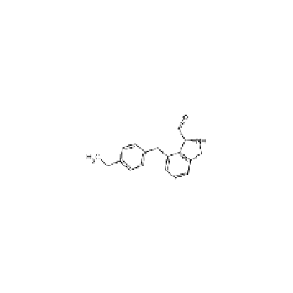 CCc1ccc(Cc2cccc3c2C(C=O)NC3)cc1